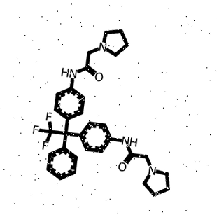 O=C(CN1CCCC1)Nc1ccc(C(c2ccccc2)(c2ccc(NC(=O)CN3CCCC3)cc2)C(F)(F)F)cc1